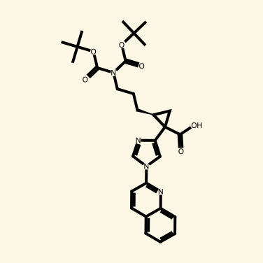 CC(C)(C)OC(=O)N(CCC[C@H]1CC1(C(=O)O)c1cn(-c2ccc3ccccc3n2)cn1)C(=O)OC(C)(C)C